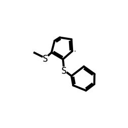 CSc1ccc[c]c1Sc1ccccc1